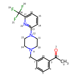 CC(=O)c1cccc(CN2CCN(c3cccc(C(F)(F)F)n3)CC2)c1